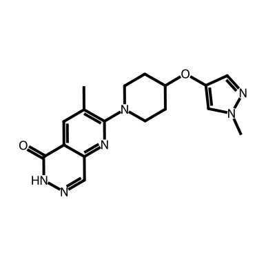 Cc1cc2c(=O)[nH]ncc2nc1N1CCC(Oc2cnn(C)c2)CC1